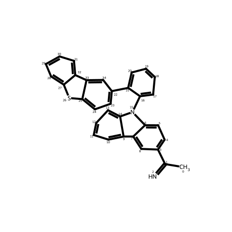 CC(=N)c1ccc2c(c1)c1ccccc1n2-c1ccccc1-c1ccc2sc3ccccc3c2c1